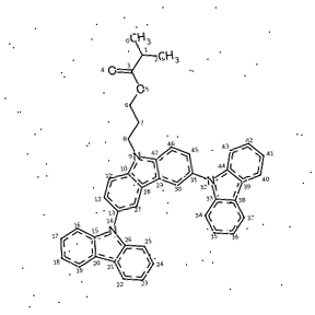 CC(C)C(=O)OCCCn1c2ccc(-n3c4ccccc4c4ccccc43)cc2c2cc(-n3c4ccccc4c4ccccc43)ccc21